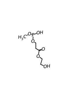 COP(O)OCCC(=O)OCCO